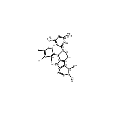 Cc1ccc(C2c3[nH]c4ccc(Cl)c(F)c4c3CCN2c2nc(C(F)(F)F)cc(C(F)(F)F)n2)c(F)c1F